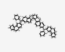 c1ccc(N(c2ccc3c(ccc4c3oc3ccc5oc6c7ccc(N(c8ccccc8)c8ccc9ccc%10ccccc%10c9c8)cc7ccc6c5c34)c2)c2ccc3ccc4ccccc4c3c2)cc1